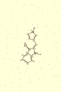 CN1/C(=C/c2ccn(C)c2)C(=O)c2ccccc21